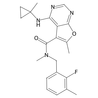 Cc1cccc(CN(C)C(=O)c2c(C)oc3ncnc(NC4(C)CC4)c23)c1F